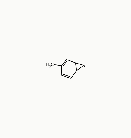 CC1=CC2SC2C=C1